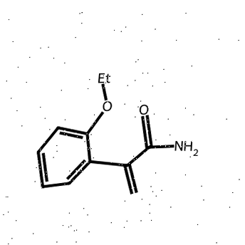 C=C(C(N)=O)c1ccccc1OCC